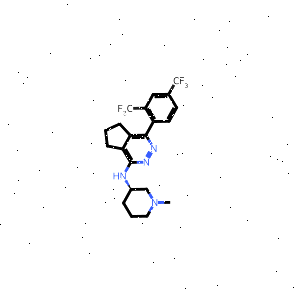 CN1CCC[C@@H](Nc2nnc(-c3ccc(C(F)(F)F)cc3C(F)(F)F)c3c2CCC3)C1